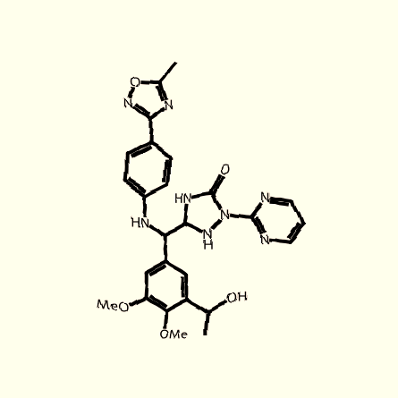 COc1cc(C(Nc2ccc(-c3noc(C)n3)cc2)C2NC(=O)N(c3ncccn3)N2)cc(C(C)O)c1OC